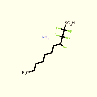 N.O=S(=O)(O)C(F)(F)C(F)(F)C(F)CCCCCCC(F)(F)F